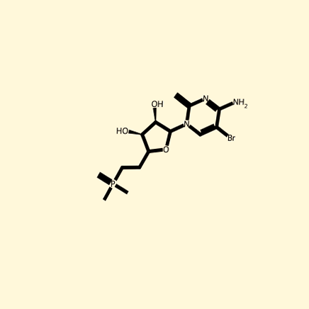 C=C1N=C(N)C(Br)=CN1C1OC(CCP(=C)(C)C)[C@@H](O)[C@H]1O